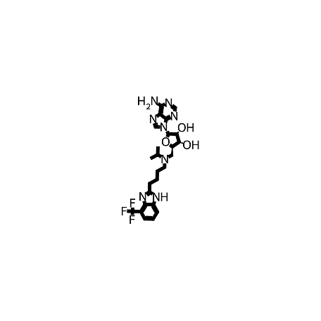 CC(C)N(CCCCc1nc2c(C(F)(F)F)cccc2[nH]1)C[C@H]1OC(n2cnc3c(N)ncnc32)[C@H](O)[C@@H]1O